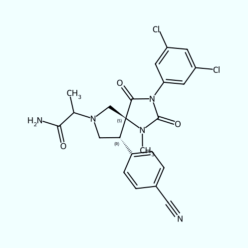 CC(C(N)=O)N1C[C@@H](c2ccc(C#N)cc2)[C@]2(C1)C(=O)N(c1cc(Cl)cc(Cl)c1)C(=O)N2C